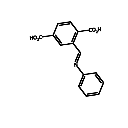 O=C(O)c1ccc(C(=O)O)c(C=Nc2ccccc2)c1